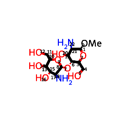 CO[C@H]1OC(CO)[C@H](O[C@@H]2OC(CO)C(O)[C@H](O)C2N)C(O)[C@H]1N